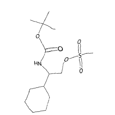 CC(C)(C)OC(=O)NC(COS(C)(=O)=O)C1CCCCC1